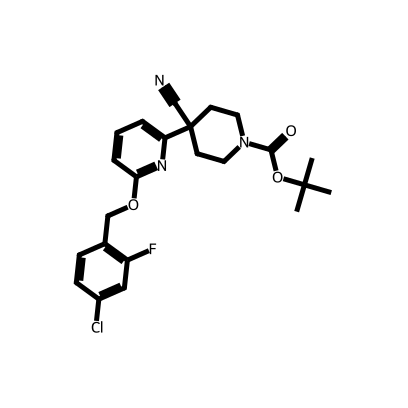 CC(C)(C)OC(=O)N1CCC(C#N)(c2cccc(OCc3ccc(Cl)cc3F)n2)CC1